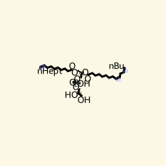 CCCC/C=C\C/C=C\CCCCCCCC(=O)O[C@H](COC(=O)CCCCCCC/C=C\CCCCCCC)COP(=O)(O)OC[C@@H](O)CO